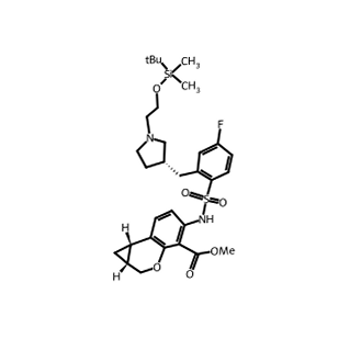 COC(=O)c1c(NS(=O)(=O)c2ccc(F)cc2C[C@@H]2CCN(CCO[Si](C)(C)C(C)(C)C)C2)ccc2c1OC[C@@H]1C[C@H]21